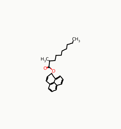 CCCCCCCCC(C)C(=O)OC1C=Cc2cccc3cccc1c23